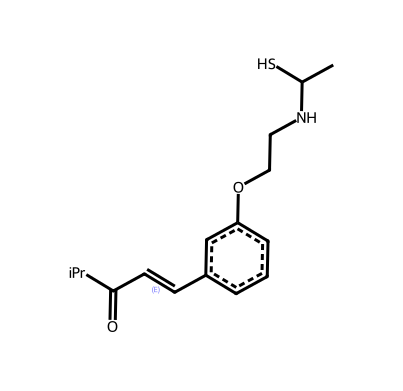 CC(S)NCCOc1cccc(/C=C/C(=O)C(C)C)c1